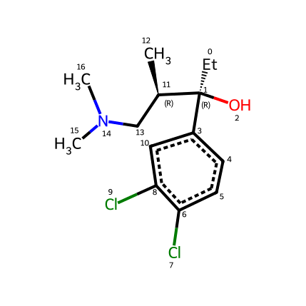 CC[C@](O)(c1ccc(Cl)c(Cl)c1)[C@H](C)CN(C)C